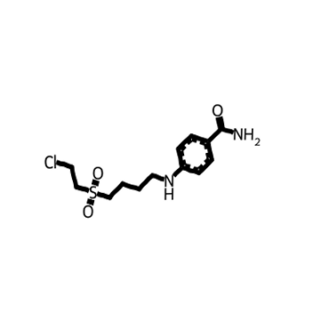 NC(=O)c1ccc(NCCCCS(=O)(=O)CCCl)cc1